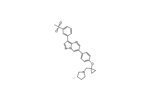 C[C@H]1CCN(CC2(Oc3ccc(-c4cnc5c(-c6cccc(S(C)(=O)=O)c6)cnn5c4)cc3)CC2)C1